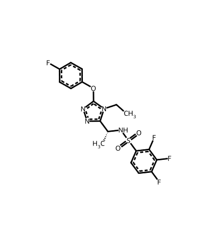 CCn1c(Oc2ccc(F)cc2)nnc1[C@@H](C)NS(=O)(=O)c1ccc(F)c(F)c1F